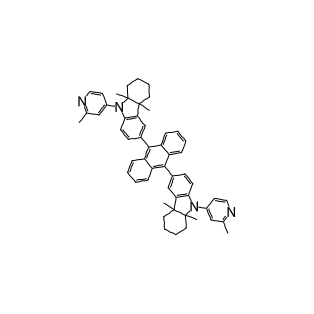 Cc1cc(N2c3ccc(-c4c5ccccc5c(-c5ccc6c(c5)C5(C)CCCCC5(C)N6c5ccnc(C)c5)c5ccccc45)cc3C3(C)CCCCC23C)ccn1